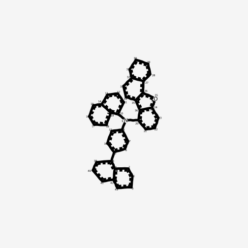 c1ccc2c(-c3ccc(N(c4cccc5ccccc45)c4cccc5oc6c7ccccc7ccc6c45)cc3)cccc2c1